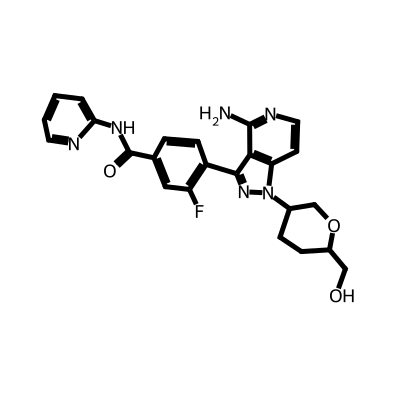 Nc1nccc2c1c(-c1ccc(C(=O)Nc3ccccn3)cc1F)nn2C1CCC(CO)OC1